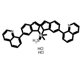 CC(C)C1=Cc2ccc(-c3cccc4cccnc34)cc2[CH]1[Zr]([CH3])([CH3])(=[SiH2])[CH]1C(C(C)C)=Cc2ccc(-c3cccc4cccnc34)cc21.Cl.Cl